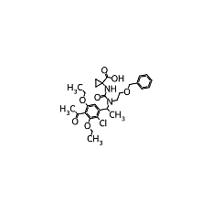 CCOc1cc(C(C)N(CCOCc2ccccc2)C(=O)NC2(C(=O)O)CC2)c(Cl)c(OCC)c1C(C)=O